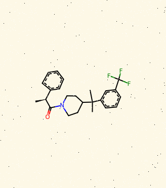 C[C@H](C(=O)N1CCC(C(C)(C)c2cccc(C(F)(F)F)c2)CC1)c1ccccc1